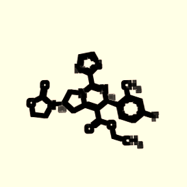 CCOC(=O)C1=C2C[C@H](N3CCOC3=O)CN2C(c2nccs2)=N[C@H]1c1ccc(F)cc1C